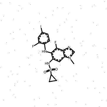 Cn1cnc2c(F)c(Nc3ccc(I)cc3F)c(NS(=O)(=O)C3CC3)cc21